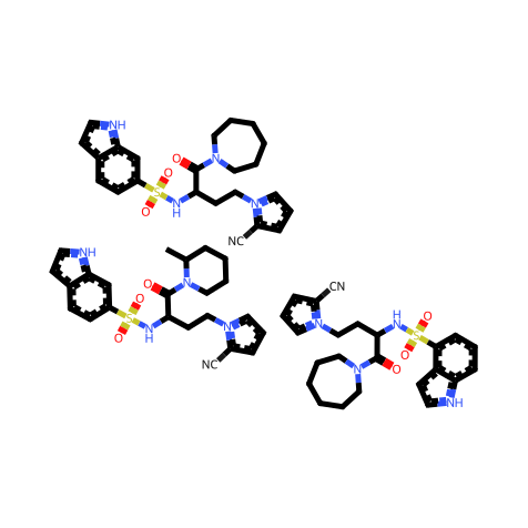 CC1CCCCN1C(=O)C(CCn1cccc1C#N)NS(=O)(=O)c1ccc2cc[nH]c2c1.N#Cc1cccn1CCC(NS(=O)(=O)c1ccc2cc[nH]c2c1)C(=O)N1CCCCCC1.N#Cc1cccn1CCC(NS(=O)(=O)c1cccc2[nH]ccc12)C(=O)N1CCCCCC1